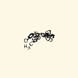 CC1CCC(Oc2c(N3CCN(S(=O)(=O)c4cccs4)CC3)cnn(-c3cccc(Cl)c3)c2=O)C1